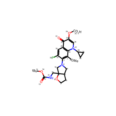 COc1c(N2CC3CCOC3(CNC(=O)OC(C)(C)C)C2)c(F)cc2c(=O)c(OC(=O)O)cn(C3CC3)c12